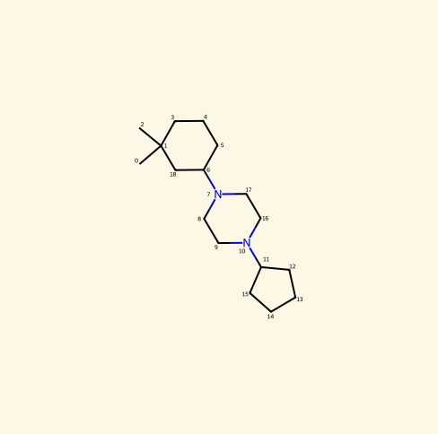 CC1(C)CCCC(N2CCN(C3CCCC3)CC2)C1